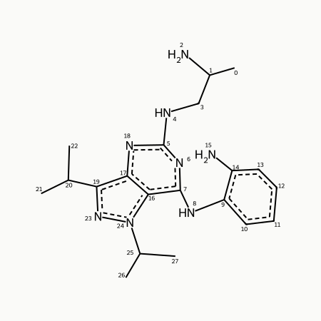 CC(N)CNc1nc(Nc2ccccc2N)c2c(n1)c(C(C)C)nn2C(C)C